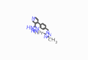 CCCc1nc(C)nn1Cc1ccc(-c2ccncc2-c2nnn[nH]2)cc1